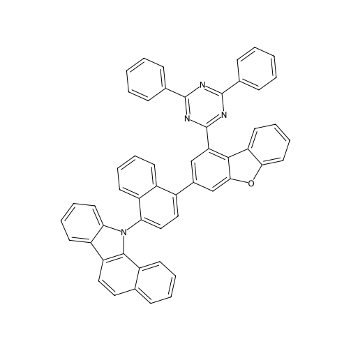 c1ccc(-c2nc(-c3ccccc3)nc(-c3cc(-c4ccc(-n5c6ccccc6c6ccc7ccccc7c65)c5ccccc45)cc4oc5ccccc5c34)n2)cc1